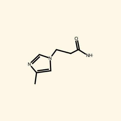 Cc1cn(CCC([NH])=O)cn1